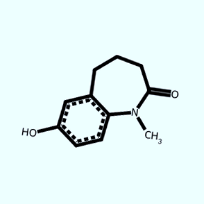 CN1C(=O)CCCc2cc(O)ccc21